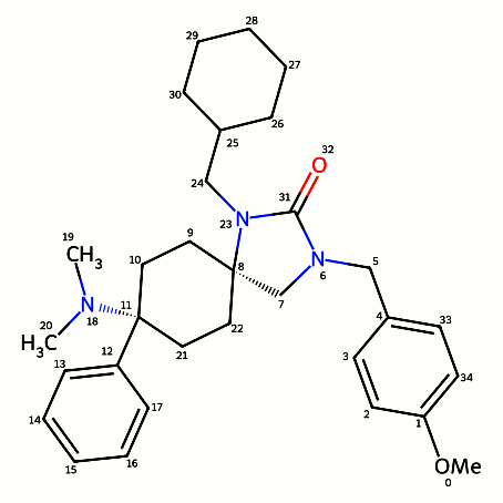 COc1ccc(CN2C[C@]3(CC[C@@](c4ccccc4)(N(C)C)CC3)N(CC3CCCCC3)C2=O)cc1